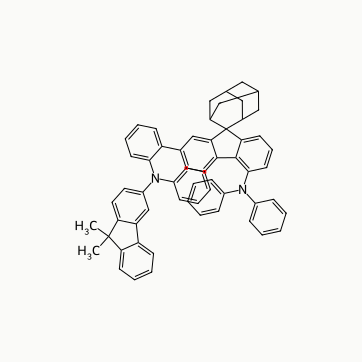 CC1(C)c2ccccc2-c2cc(N(c3ccccc3)c3ccccc3-c3ccc4c(c3)C3(c5cccc(N(c6ccccc6)c6ccccc6)c5-4)C4CC5CC(C4)CC3C5)ccc21